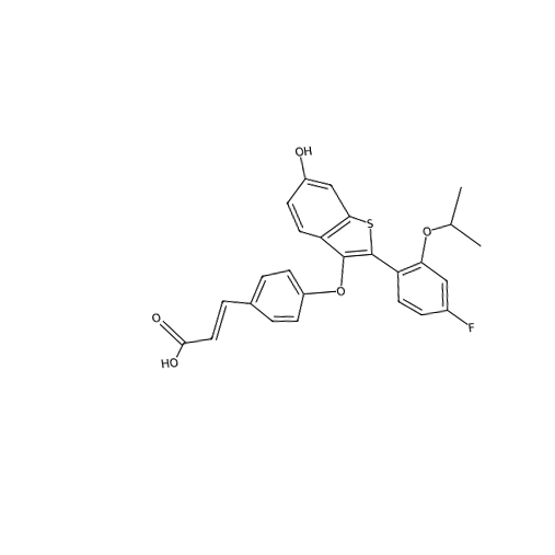 CC(C)Oc1cc(F)ccc1-c1sc2cc(O)ccc2c1Oc1ccc(/C=C/C(=O)O)cc1